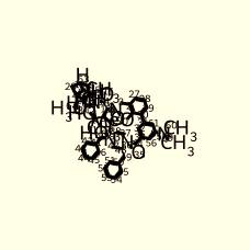 COc1c(CN2O[C@@H](CO)[C@@H]([C@H](C)O)[C@H]2C(=O)N[C@H]2C[C@H]3C[C@@H]([C@@H]2C)C3(C)C)cccc1-c1cc(C(=O)N2CCN(Cc3ccccc3)C[C@@H]2Cc2ccccc2)cc(N(C)C)c1